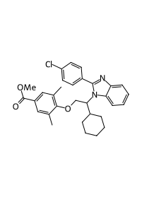 COC(=O)c1cc(C)c(OCC(C2CCCCC2)n2c(-c3ccc(Cl)cc3)nc3ccccc32)c(C)c1